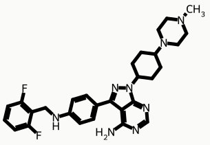 CN1CCN(C2CCC(n3nc(-c4ccc(NCc5c(F)cccc5F)cc4)c4c(N)ncnc43)CC2)CC1